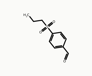 CCCS(=O)(=O)c1ccc(C=O)cc1